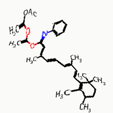 C=C(OC(=C)OC(C=C(C)C=CC=C(C)C=CC1=C(C)C(C)CCC1(C)C)=Nc1[c]cccc1)OC(C)=O